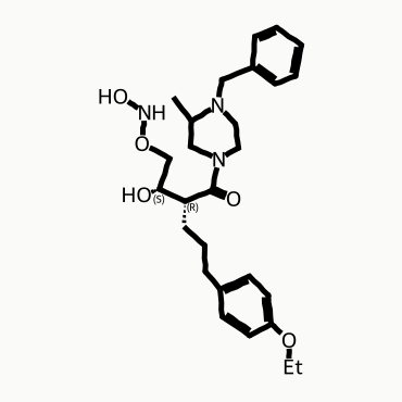 CCOc1ccc(CCC[C@@H](C(=O)N2CCN(Cc3ccccc3)C(C)C2)[C@H](O)CONO)cc1